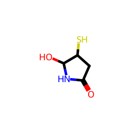 O=C1CC(S)C(O)N1